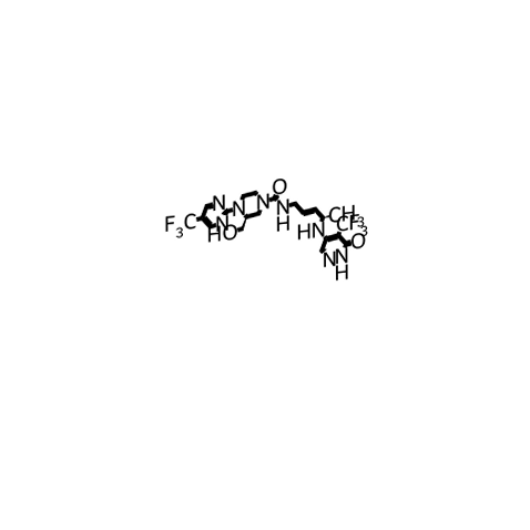 C[C@@H](/C=C/CNC(=O)N1CCN(c2ncc(C(F)(F)F)cn2)[C@H](CO)C1)Nc1cn[nH]c(=O)c1C(F)(F)F